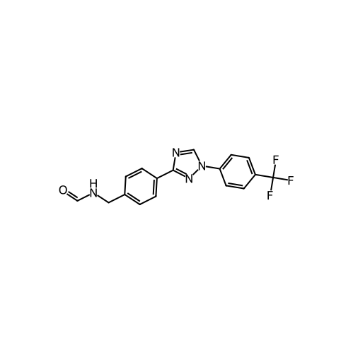 O=CNCc1ccc(-c2ncn(-c3ccc(C(F)(F)F)cc3)n2)cc1